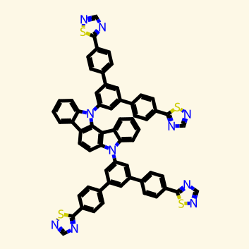 c1ccc2c(c1)c1c(ccc3c4ccccc4n(-c4cc(-c5ccc(-c6ncns6)cc5)cc(-c5ccc(-c6ncns6)cc5)c4)c31)n2-c1cc(-c2ccc(-c3ncns3)cc2)cc(-c2ccc(-c3ncns3)cc2)c1